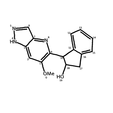 COc1cc2[nH]ncc2nc1C1c2ccccc2CC1O